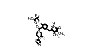 Cc1c(Cc2ccc(F)c(C(=O)N3CCN(c4cncs4)C(=O)C3)c2)n[nH]c(=O)c1C.O=C(O)C(F)(F)F